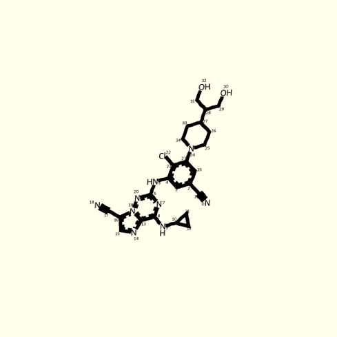 N#Cc1cc(Nc2nc(NC3CC3)c3ncc(C#N)n3n2)c(Cl)c(N2CCC(C(CO)CO)CC2)c1